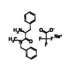 CN(Cc1ccccc1)C(=O)[C@@H](N)Cc1ccccc1.O=C([O-])C(F)(F)F.[Na+]